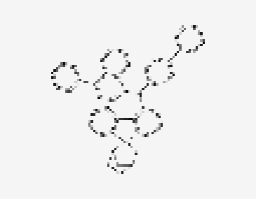 c1ccc(-c2ccc(N(c3cccc4c3-c3ccccc3C43CC4CCC3C4)c3ccc(-c4ccccc4)c4ccccc34)cc2)cc1